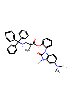 C[C@@H](CNC(c1ccccc1)(c1ccccc1)c1ccccc1)C(=O)Oc1ccccc1-n1c(=O)n(C)c2cc(N(C)C)ccc21